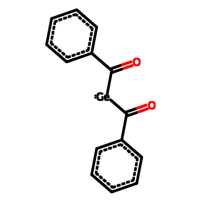 O=[C]([Ge][C](=O)c1ccccc1)c1ccccc1